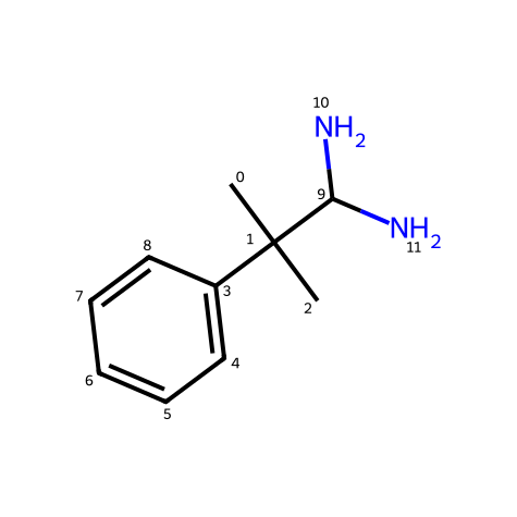 CC(C)(c1ccccc1)C(N)N